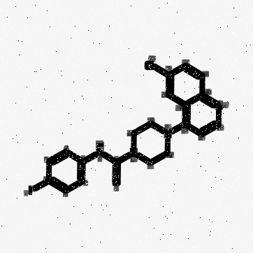 O=C(Nc1ccc(F)cc1)N1CCN(c2ccnc3ccc(Cl)cc23)CC1